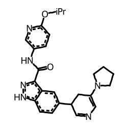 CC(C)Oc1ccc(NC(=O)c2n[nH]c3ccc(C4C=NC=C(N5CCCC5)C4)cc23)cn1